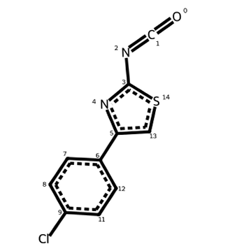 O=C=Nc1nc(-c2ccc(Cl)cc2)cs1